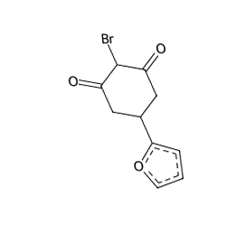 O=C1CC(c2ccco2)CC(=O)C1Br